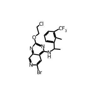 Cc1c(C(C)Nc2nc(OCCCl)nc3cnc(Br)cc23)cccc1C(F)(F)F